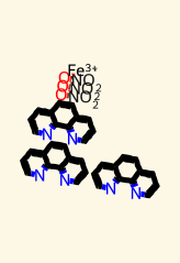 O=[N+]([O-])[O-].O=[N+]([O-])[O-].O=[N+]([O-])[O-].[Fe+3].c1cnc2c(c1)ccc1cccnc12.c1cnc2c(c1)ccc1cccnc12.c1cnc2c(c1)ccc1cccnc12